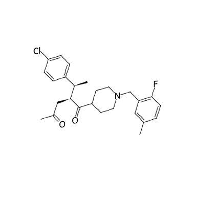 CC(=O)C[C@H](C(=O)C1CCN(Cc2cc(C)ccc2F)CC1)[C@H](C)c1ccc(Cl)cc1